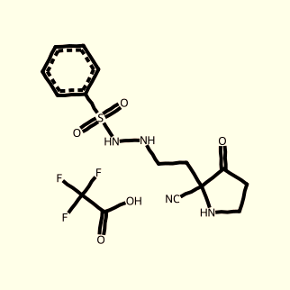 N#CC1(CCNNS(=O)(=O)c2ccccc2)NCCC1=O.O=C(O)C(F)(F)F